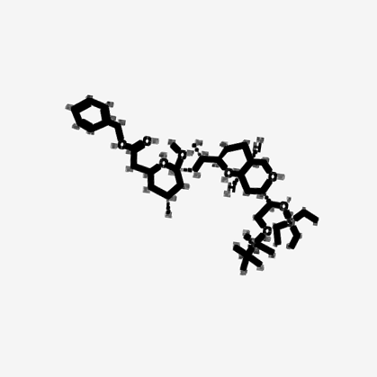 CC[Si](CC)(CC)OC(CO[Si](C)(C)C(C)(C)C)[C@@H]1C[C@H]2O[C@@H]([C@@H](C)C[C@]3(OC)C[C@H](C)CC(CC(=O)OCc4ccccc4)O3)CC[C@H]2CO1